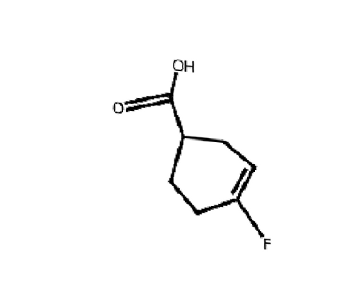 O=C(O)C1CC=C(F)CC1